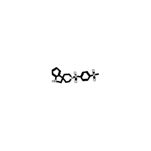 CS(=O)(=O)c1ccc(S(=O)(=O)N2CCC3(CC2)CNc2ccccc23)cc1